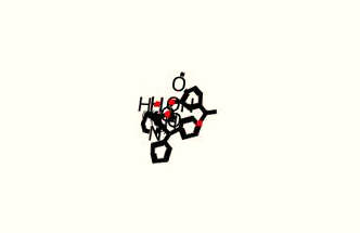 COc1ccc(C(C)C)cc1CO[C@H]1[C@@H]2CCN(C[C@H]2C(=O)O)[C@H]1C(c1ccccc1)c1ccccc1